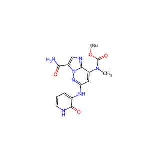 CN(C(=O)OC(C)(C)C)c1cc(Nc2ccc[nH]c2=O)nn2c(C(N)=O)cnc12